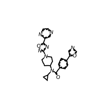 O=C(c1ccc(-c2cnco2)cc1)N(C1CC1)C1CCN(c2noc(-c3cnccn3)n2)CC1